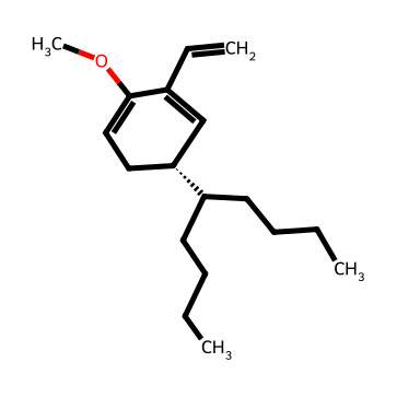 C=CC1=C[C@H](C(CCCC)CCCC)CC=C1OC